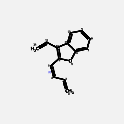 C=C/C=C\c1oc2ccccc2c1C=C